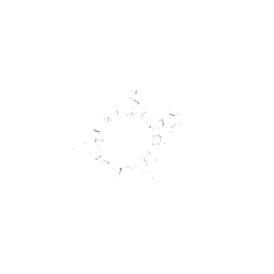 CC[C@H](C)[C@@H]1NC(=O)[C@H](C)NC(=O)[C@H](CCSC)NC(=O)[C@H](C)NC(=O)[C@H](CC(N)=O)NC(=O)[C@H](Cc2ccccc2)NC(=O)[C@@H]2CCCN2C1=O